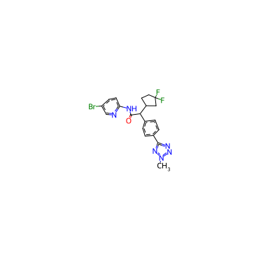 Cn1nnc(-c2ccc(C(C(=O)Nc3ccc(Br)cn3)C3CCC(F)(F)C3)cc2)n1